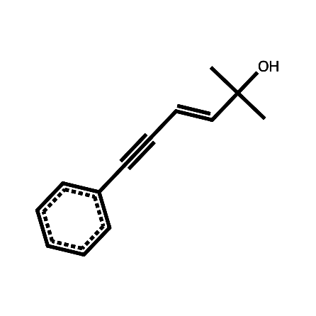 CC(C)(O)C=CC#Cc1ccccc1